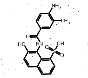 Cc1cc(C(=O)Nc2c(O)ccc3cccc(S(=O)(=O)O)c23)ccc1N